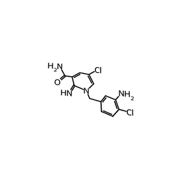 N=c1c(C(N)=O)cc(Cl)cn1Cc1ccc(Cl)c(N)c1